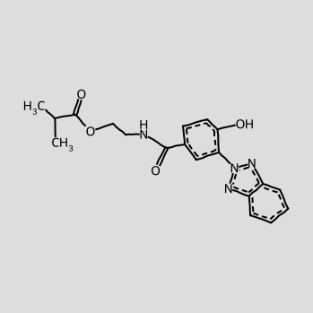 CC(C)C(=O)OCCNC(=O)c1ccc(O)c(-n2nc3ccccc3n2)c1